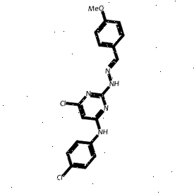 COc1ccc(/C=N/Nc2nc(Cl)cc(Nc3ccc(Cl)cc3)n2)cc1